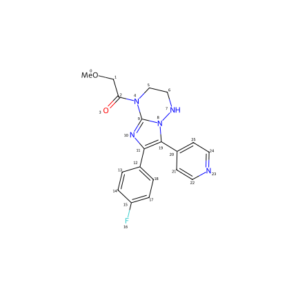 COCC(=O)N1CCNn2c1nc(-c1ccc(F)cc1)c2-c1ccncc1